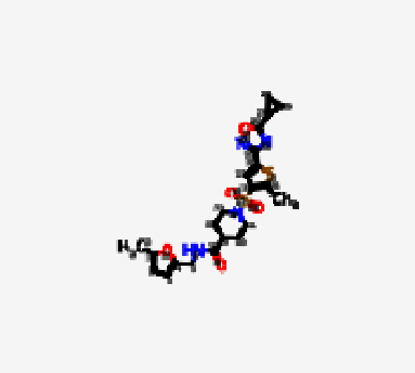 Cc1ccc(CNC(=O)C2CCN(S(=O)(=O)c3cc(-c4noc(C5CC5)n4)sc3C)CC2)o1